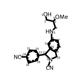 COC(CO)CNc1ccc2c(c1)C(c1ccc(C#N)cc1)N(C#N)C2